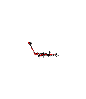 CC(C)(C)OC(=O)CCCCCCCCCCCCCCCc1cc(Oc2ccc(S(=O)(=O)Nc3cnc(C(=O)NCCOCCOCC(=O)NCCOCCOCC(=O)O)nc3)cc2)ccc1F